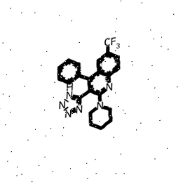 FC(F)(F)c1ccc2nc(N3CCCCC3)c(-c3nnn[nH]3)c(-c3ccccc3)c2c1